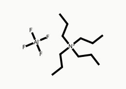 CCC[N+](CCC)(CCC)CCC.[F][Al-]([F])([F])[F]